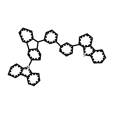 c1cc(-c2cccc(C3c4ccccc4-c4cc(-n5c6ccccc6c6ccccc65)ccc43)c2)cc(-c2cccc3c2sc2ccccc23)c1